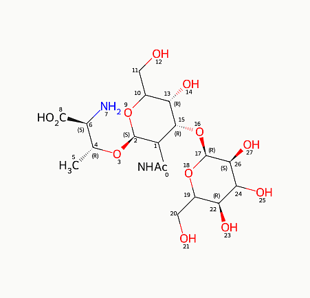 CC(=O)NC1[C@@H](O[C@H](C)[C@H](N)C(=O)O)OC(CO)[C@H](O)[C@@H]1O[C@@H]1OC(CO)[C@H](O)C(O)[C@@H]1O